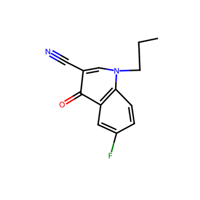 CCCn1cc(C#N)c(=O)c2cc(F)ccc21